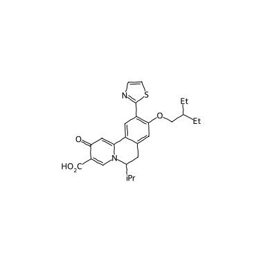 CCC(CC)COc1cc2c(cc1-c1nccs1)-c1cc(=O)c(C(=O)O)cn1C(C(C)C)C2